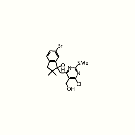 CSc1nc(Cl)c(CO)c(CC2(O)c3cc(Br)ccc3CC2(C)C)n1